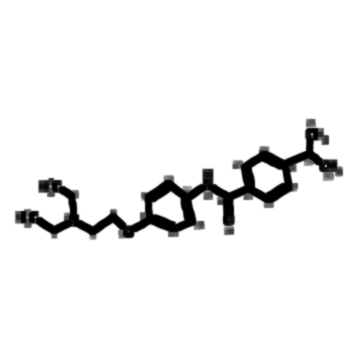 CCN(CC)CCOc1ccc(NC(=O)c2ccc(C(C)C)cc2)cc1